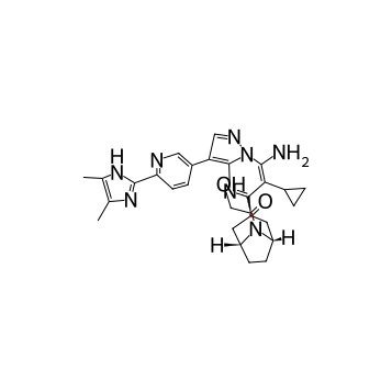 Cc1nc(-c2ccc(-c3cnn4c(N)c(C5CC5)c([C@@H]5C[C@H]6CC[C@@H](C5)N6C(=O)CO)nc34)cn2)[nH]c1C